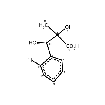 CC(O)(C(=O)O)[C@H](O)c1ccccc1I